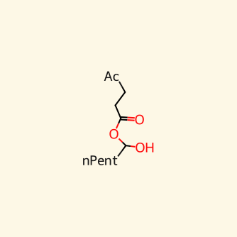 CCCCCC(O)OC(=O)CCC(C)=O